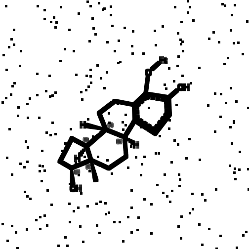 CCOc1c(O)ccc2c1CC[C@@H]1[C@@H]2CC[C@]2(C)[C@@H](O)CC[C@@H]12